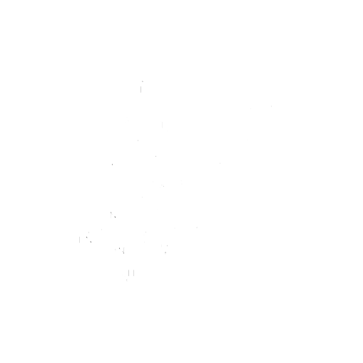 COCC/C=C/c1cccc([C@@]2(c3ccc(OC(F)F)cc3)N=C(N)N(C)C2=O)c1